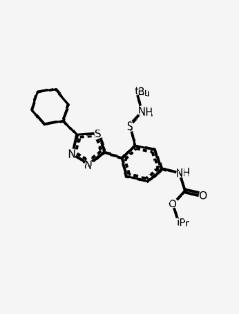 CC(C)OC(=O)Nc1ccc(-c2nnc(C3CCCCC3)s2)c(SNC(C)(C)C)c1